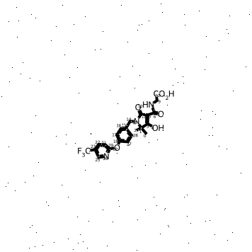 CC1(C)C(O)=C(C(=O)NCC(=O)O)C(=O)N1Cc1ccc(Oc2ccc(C(F)(F)F)cn2)cc1